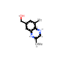 CCc1cc(CO)cc2nc(OC)cnc12